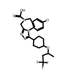 CC(CC(F)(F)F)OC1CCC(c2nnc3n2-c2ccc(Cl)cc2CN(C(=O)O)C3)CC1